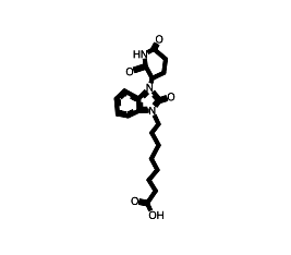 O=C(O)CCCCCCCn1c(=O)n(C2CCC(=O)NC2=O)c2ccccc21